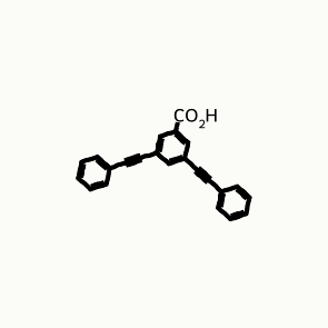 O=C(O)c1cc(C#Cc2ccccc2)cc(C#Cc2ccccc2)c1